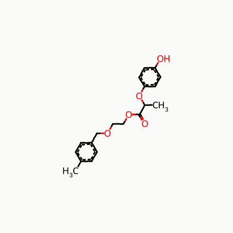 Cc1ccc(COCCOC(=O)C(C)Oc2ccc(O)cc2)cc1